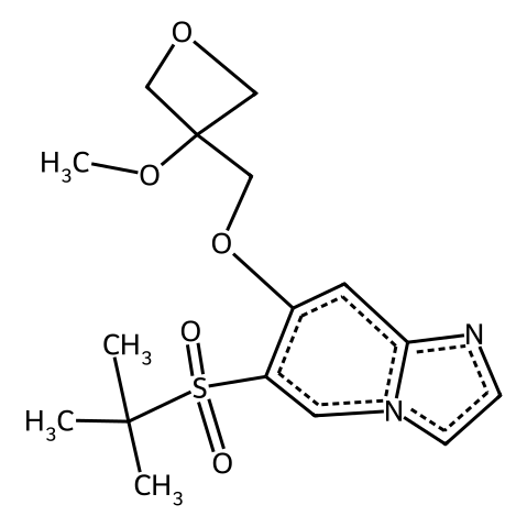 COC1(COc2cc3nccn3cc2S(=O)(=O)C(C)(C)C)COC1